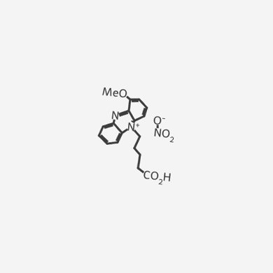 COc1cccc2c1nc1ccccc1[n+]2CCCCC(=O)O.O=[N+]([O-])[O-]